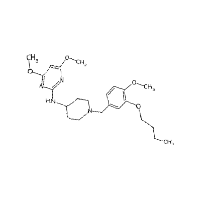 CCCCOc1cc(CN2CCC(Nc3nc(OC)cc(OC)n3)CC2)ccc1OC